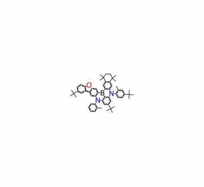 Cc1cc(C(C)(C)C)ccc1N1c2cc3c(cc2B2c4cc5oc6ccc(C(C)(C)C)cc6c5cc4N(c4ccccc4C)c4cc(C(C)(C)C)cc1c42)C(C)(C)CCC3(C)C